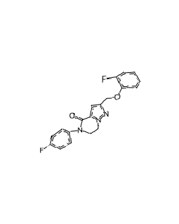 O=C1c2cc(COc3ccccc3F)nn2CCN1c1ccc(F)cc1